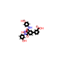 O=C(O)c1cccc(C2=CC(C(=O)Nc3ccc(O)cc3)C(C(=O)O)(C(=O)Nc3cccc(O)c3)C=C2)c1